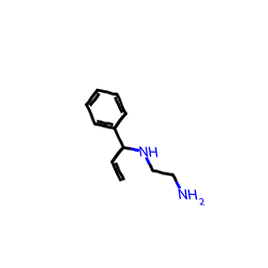 C=CC(NCCN)c1ccccc1